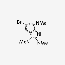 CNc1[nH]c2c(NC)cc(Br)cc2c1NC